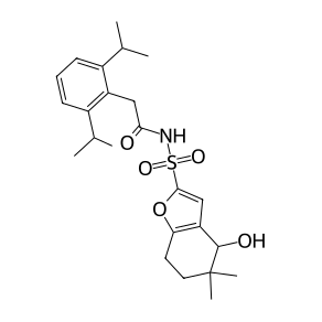 CC(C)c1cccc(C(C)C)c1CC(=O)NS(=O)(=O)c1cc2c(o1)CCC(C)(C)C2O